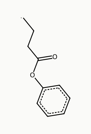 [CH2]CCC(=O)Oc1ccccc1